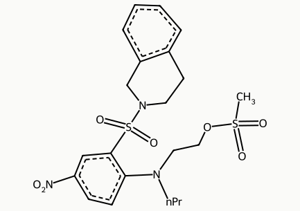 CCCN(CCOS(C)(=O)=O)c1ccc([N+](=O)[O-])cc1S(=O)(=O)N1CCc2ccccc2C1